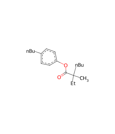 CCCCc1ccc(OC(=O)C(C)(CC)CCCC)cc1